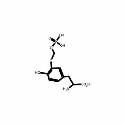 NC(Cc1ccc(O)c(OCOP(=O)(O)O)c1)C(=O)O